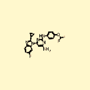 Nc1cc(-n2c(C3CC3)nc3ccc(F)cc32)nc(Nc2ccc(OC(F)F)cc2)n1